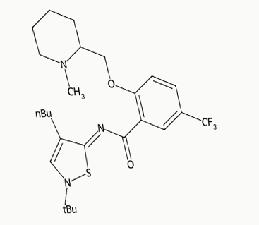 CCCCc1cn(C(C)(C)C)sc1=NC(=O)c1cc(C(F)(F)F)ccc1OCC1CCCCN1C